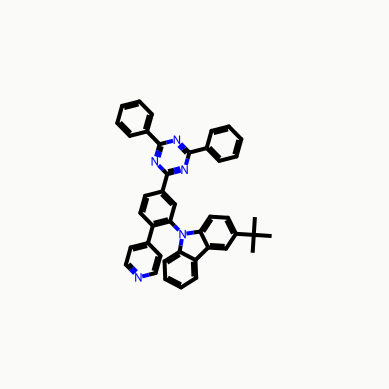 CC(C)(C)c1ccc2c(c1)c1ccccc1n2-c1cc(-c2nc(-c3ccccc3)nc(-c3ccccc3)n2)ccc1-c1ccncc1